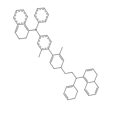 CC1=CC(CCC(C2=CC=CCC2)C2=C3C=CC=CC3CC=C2)CC=C1c1ccc(N(C2=c3ccccc3=CCC2)c2ccccc2)cc1C